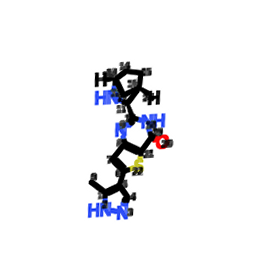 Cc1[nH]ncc1-c1cc2nc([C@H]3N[C@@H]4CC[C@H]3C4)[nH]c(=O)c2s1